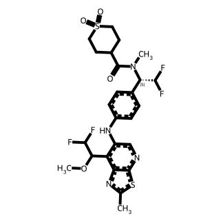 COC(c1c(Nc2ccc([C@@H](C(F)F)N(C)C(=O)C3CCS(=O)(=O)CC3)cc2)cnc2sc(C)nc12)C(F)F